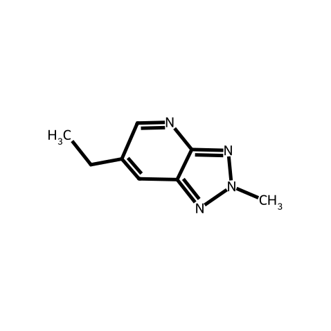 CCc1cnc2nn(C)nc2c1